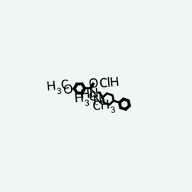 COc1ccc(C(=O)NCC2(N(C)C)CCC(c3ccccc3)CC2)cc1.Cl